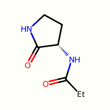 CCC(=O)N[C@H]1CCNC1=O